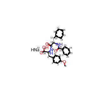 COc1ccc(C[C@H](NC(=O)[C@H](Cc2ccccc2)NC(=O)c2ccccc2)C(=O)O)cc1.[NaH]